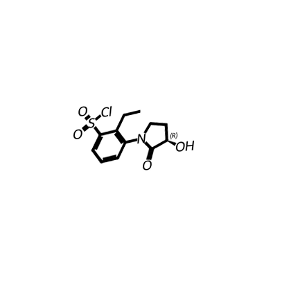 CCc1c(N2CC[C@@H](O)C2=O)cccc1S(=O)(=O)Cl